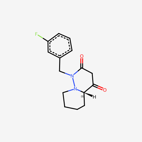 O=C1CC(=O)N(Cc2cccc(F)c2)N2CCCC[C@@H]12